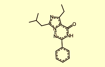 CCc1nc(CC(C)C)n2nc(-c3ccccc3)[nH]c(=O)c12